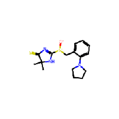 CC1(C)NC([S+]([O-])Cc2ccccc2N2CCCC2)=NC1=S